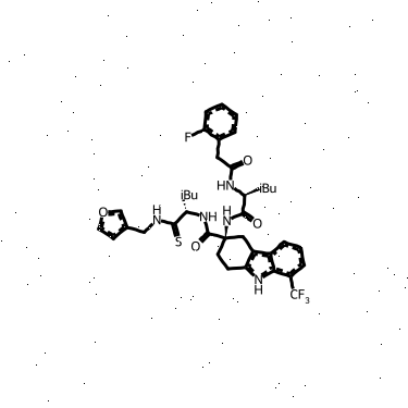 CCC(C)[C@H](NC(=O)Cc1ccccc1F)C(=O)N[C@]1(C(=O)N[C@H](C(=S)NCc2ccoc2)C(C)CC)CCc2[nH]c3c(C(F)(F)F)cccc3c2C1